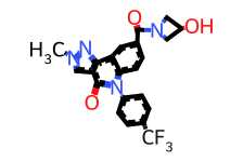 Cn1cc2c(=O)n(-c3ccc(C(F)(F)F)cc3)c3ccc(C(=O)N4CC(O)C4)cc3c2n1